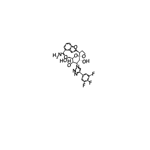 NC(=O)c1cccc2oc([C@H]3CCO[C@]34O[C@H](CO)[C@H](O)[C@H](n3cc(-c5cc(F)c(F)c(F)c5)nn3)[C@H]4O)cc12